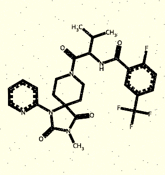 CC(C)C(NC(=O)c1cc(C(F)(F)F)ccc1F)C(=O)N1CCC2(CC1)C(=O)N(C)C(=O)N2c1ccccn1